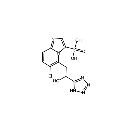 O=P(O)(O)c1cnc2ccc(Cl)c(CC(O)c3nnn[nH]3)n12